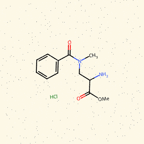 COC(=O)C(N)CN(C)C(=O)c1ccccc1.Cl